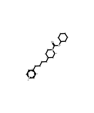 O=C(OC1CCCCC1)N1CCC(CCCCc2ccncc2)CC1